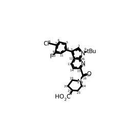 CC(C)(C)n1cc(-c2ccc(Cl)c(F)c2)c2ccc(C(=O)N3CCC(C(=O)O)CC3)nc21